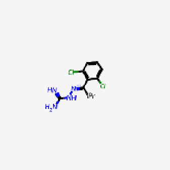 CC(C)/C(=N\NC(=N)N)c1c(Cl)cccc1Cl